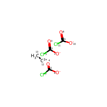 O=C([O-])Cl.O=C([O-])Cl.O=C([O-])Cl.[C+3]C